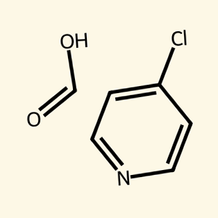 Clc1ccncc1.O=CO